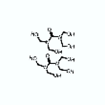 O=C(N(CO)CO)N(CO)CO.O=C(N(CO)CO)N(CO)CO